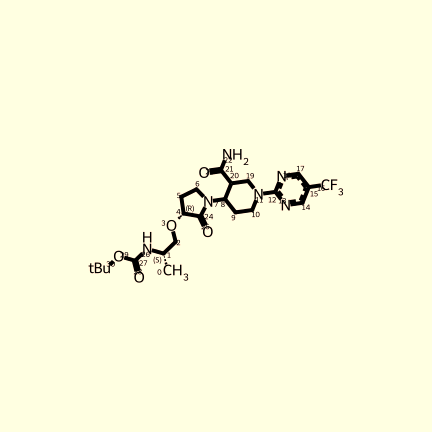 C[C@@H](CO[C@@H]1CCN(C2CCN(c3ncc(C(F)(F)F)cn3)CC2C(N)=O)C1=O)NC(=O)OC(C)(C)C